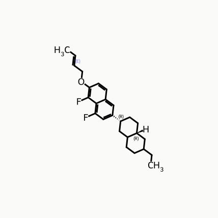 C/C=C/COc1ccc2cc([C@@H]3CC[C@@H]4CC(CC)CCC4C3)cc(F)c2c1F